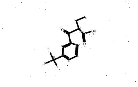 CCC(C(=O)O)C(=O)c1cccc(C(F)(F)F)c1